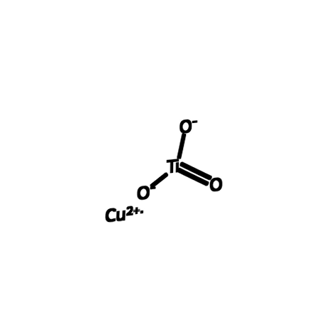 [Cu+2].[O]=[Ti]([O-])[O-]